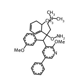 COc1cccc(C(c2cc(-c3ccccc3)cnc2OC)C(CCN(C)C)(ON)C2=CC=CCC2C)c1